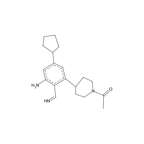 CC(=O)N1CCC(c2cc(C3CCCC3)cc(N)c2C=N)CC1